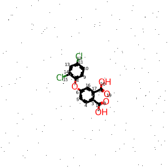 O=C(O)c1ccc(Oc2ccc(Cl)cc2Cl)cc1C(=O)O